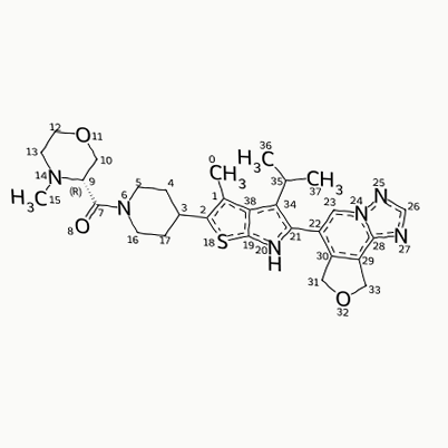 Cc1c(C2CCN(C(=O)[C@H]3COCCN3C)CC2)sc2[nH]c(-c3cn4ncnc4c4c3COC4)c(C(C)C)c12